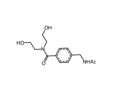 CC(=O)NCc1ccc(C(=O)N(CCO)CCO)cc1